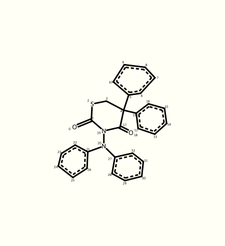 O=C1SCC(c2ccccc2)(c2ccccc2)C(=O)N1N(c1ccccc1)c1ccccc1